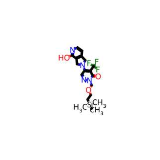 C[Si](C)(C)CCOCn1ncc(N2Cc3ccnc(O)c3C2)c(C(F)(F)F)c1=O